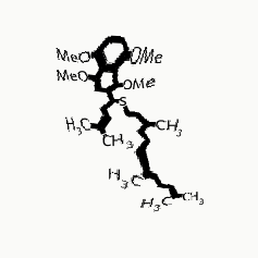 COc1ccc(OC)c2c(OC)c(C(CC=C(C)C)SCC=C(C)CCC=C(C)CCC=C(C)C)cc(OC)c12